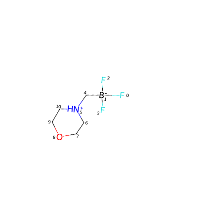 F[B-](F)(F)C[NH+]1CCOCC1